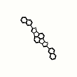 C1=C(c2ccc3ccccc3c2)SC2c3ccc4c5c(ccc(c35)C12)C1C=C(c2ccc3ccccc3c2)SC41